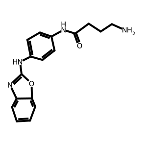 NCCCC(=O)Nc1ccc(Nc2nc3ccccc3o2)cc1